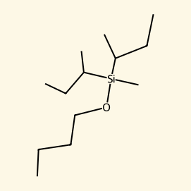 CCCCO[Si](C)(C(C)CC)C(C)CC